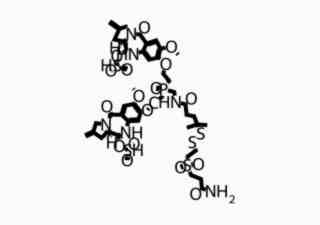 C=C1C[C@@H]2C(O[SH](=O)=O)Nc3cc(OCCP(=O)(CCOc4cc5c(cc4OC)C(=O)N4CC(=C)C[C@H]4C(O[SH](=O)=O)N5)CNC(=O)CCC(C)(C)SSCCS(=O)(=O)CCC(N)=O)c(OC)cc3C(=O)N2C1